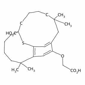 CC1(C)CCCC[C@]2(C(=O)O)CCCCC(C)(C)c3cc(OCC(=O)O)c(cc3S2)C1